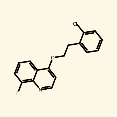 Fc1cccc2c(OCCc3ccccc3Cl)ccnc12